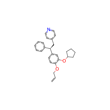 C=CCOc1ccc([C@H](Cc2ccncc2)c2ccccc2)cc1OC1CCCC1